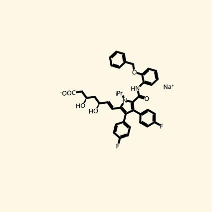 CC(C)n1c(C=C[C@@H](O)C[C@@H](O)CC(=O)[O-])c(-c2ccc(F)cc2)c(-c2ccc(F)cc2)c1C(=O)Nc1ccccc1OCc1ccccc1.[Na+]